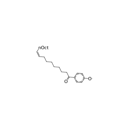 CCCCCCCC/C=C\CCCCCCCC(=O)c1ccc([O])cc1